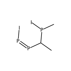 CC(/P=P\I)P(C)I